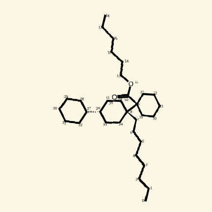 CCCCCCCC[C@]1(C2(C(=O)OCCCCCC)CCCCC2)CC[C@@H](C2CCCCC2)CC1